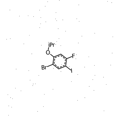 CC(C)Oc1cc(F)c(I)cc1Br